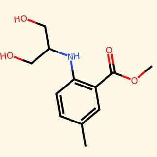 COC(=O)c1cc(C)ccc1NC(CO)CO